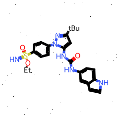 CCOS(=N)(=O)c1ccc(-n2nc(C(C)(C)C)cc2NC(=O)Nc2ccc3[nH]ccc3c2)cc1